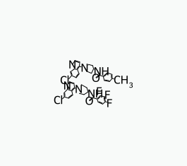 Cc1ccc(C(=O)NC2CCN(c3ccnc4cc(Cl)ccc34)CC2)cc1.O=C(NC1CCN(c2ccnc3cc(Cl)ccc23)CC1)c1ccc(F)c(F)c1F